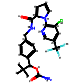 CC(C)(C)C(OC(N)=O)c1ccc(CNC(=O)c2cccn2-c2ncc(C(F)(F)F)cc2Cl)cc1